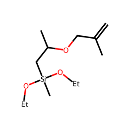 C=C(C)COC(C)C[Si](C)(OCC)OCC